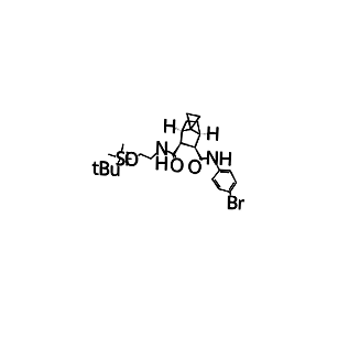 CC(C)(C)[Si](C)(C)OCCNC(=O)[C@@H]1[C@H](C(=O)Nc2ccc(Br)cc2)[C@@H]2CC[C@H]1C21CC1